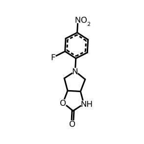 O=C1NC2CN(c3ccc([N+](=O)[O-])cc3F)CC2O1